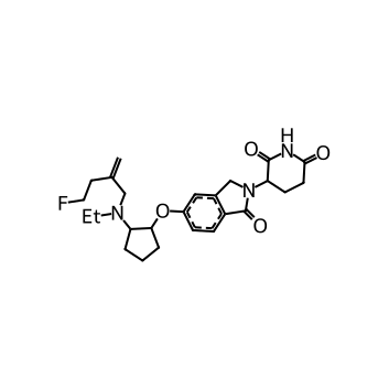 C=C(CCF)CN(CC)C1CCCC1Oc1ccc2c(c1)CN(C1CCC(=O)NC1=O)C2=O